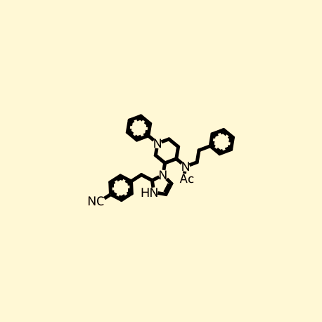 CC(=O)N(CCc1ccccc1)C1CCN(c2ccccc2)CC1N1C=CNC1Cc1ccc(C#N)cc1